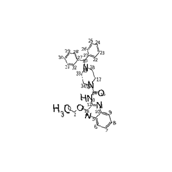 CCOc1nc2ccccc2nc1NC(=O)N1CCN(C(c2ccccc2)c2ccccc2)CC1